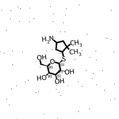 CC1(C)CC(N)CC1S[C@@H]1O[C@H](CO)[C@H](O)[C@H](O)[C@H]1O